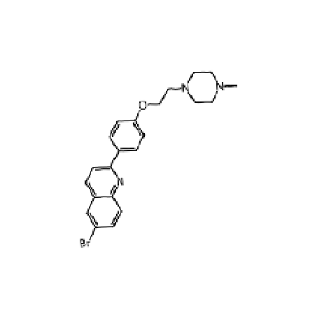 CN1CCN(CCOc2ccc(-c3ccc4cc(Br)ccc4n3)cc2)CC1